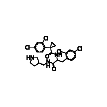 O=C(NC[C@H]1CCNC1)C(Cc1ccc(Cl)cc1Cl)NC(=O)C1(c2ccc(Cl)cc2Cl)CC1